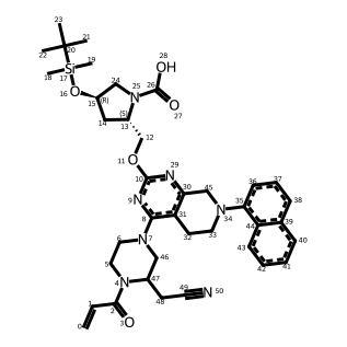 C=CC(=O)N1CCN(c2nc(OC[C@@H]3C[C@@H](O[Si](C)(C)C(C)(C)C)CN3C(=O)O)nc3c2CCN(c2cccc4ccccc24)C3)CC1CC#N